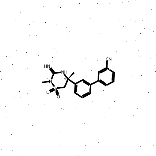 CN1C(=N)N[C@](C)(c2cccc(-c3cccc(C#N)c3)c2)CS1(=O)=O